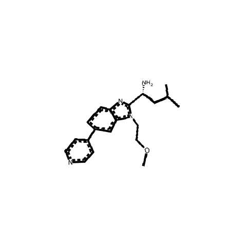 COCCn1c([C@H](N)CC(C)C)nc2ccc(-c3ccncc3)cc21